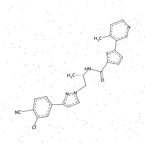 Cc1ccncc1-c1ccc(C(=O)N[C@@H](C)Cn2ccc(-c3ccc(C#N)c(Cl)c3)n2)s1